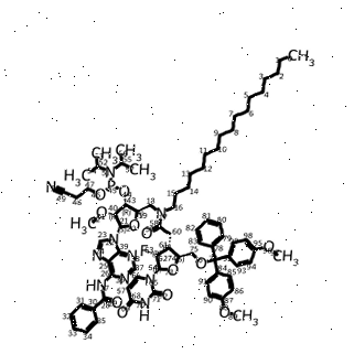 CCCCCCCCCCCCCCCCCN(C[C@H]1O[C@H](n2cnc3c(NC(=O)c4ccccc4)ncnc32)[C@H](OC)[C@@H]1OP(OCCC#N)N(C(C)C)C(C)C)C(=O)C[C@H]1[C@@H](F)[C@H](n2ccc(=O)[nH]c2=O)O[C@@H]1COC(c1ccccc1)(c1ccc(OC)cc1)c1ccc(OC)cc1